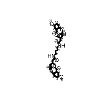 COc1ccc2c(c1)C(=O)N1C/C(=C\C(=O)NCCCCNC(=O)/C=C3/C[C@H]4C=Nc5ccc(OC)cc5C(=O)N4C3)C[C@H]1C=N2